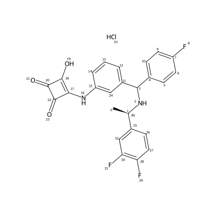 C[C@@H](NC(c1ccc(F)cc1)c1cccc(Nc2c(O)c(=O)c2=O)c1)c1ccc(F)c(F)c1.Cl